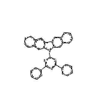 c1ccc(-c2nc(-c3ccccc3)nc(-n3c4cc5ccccc5cc4c4cc5ccccc5cc43)n2)cc1